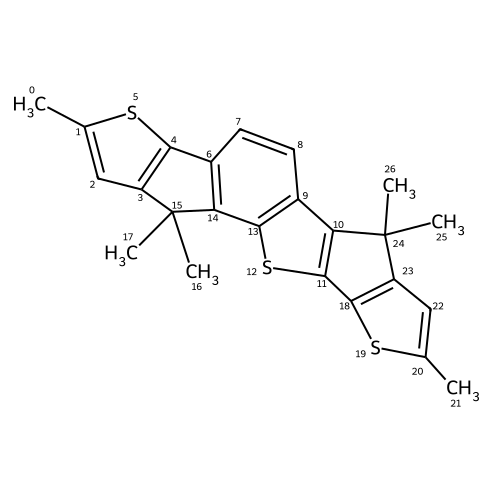 Cc1cc2c(s1)-c1ccc3c4c(sc3c1C2(C)C)-c1sc(C)cc1C4(C)C